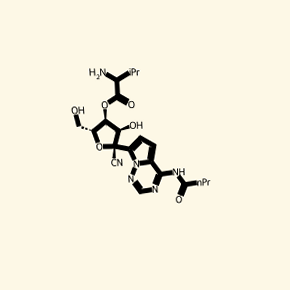 CCCC(=O)Nc1ncnn2c([C@]3(C#N)O[C@H](CO)[C@@H](OC(=O)C(N)C(C)C)[C@H]3O)ccc12